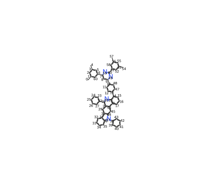 Cc1cc(C)cc(-c2cc(-c3ccc(-c4cccc5c4nc(-c4ccccc4)c4cc6c7ccccc7n(-c7ccccc7)c6cc45)cc3)nc(-c3cc(C)cc(C)c3)n2)c1